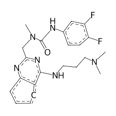 CN(C)CCCNc1nc(CN(C)C(=O)Nc2ccc(F)c(F)c2)nc2ccccc12